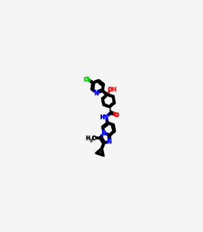 Cc1c(C2CC2)nc2ccc(NC(=O)[C@H]3CC[C@](O)(c4ccc(Cl)cn4)CC3)cn12